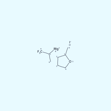 CC1CCCO1.C[CH]([Mg+])C(F)(F)F.[I-]